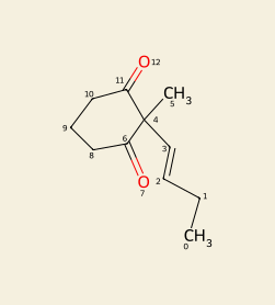 CCC=CC1(C)C(=O)CCCC1=O